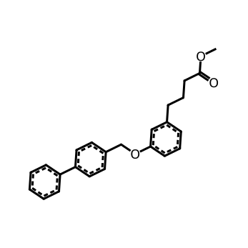 COC(=O)CCCc1cccc(OCc2ccc(-c3ccccc3)cc2)c1